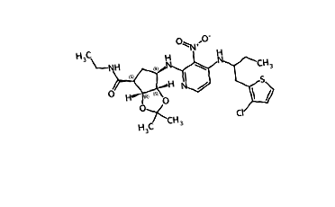 CCNC(=O)[C@H]1C[C@@H](Nc2nccc(NC(CC)Cc3sccc3Cl)c2[N+](=O)[O-])[C@@H]2OC(C)(C)O[C@@H]21